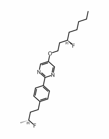 CCCCC[C@@H](F)CCOc1cnc(-c2ccc(CC[C@@H](C)F)cc2)nc1